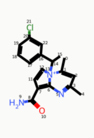 CC1=CC(C)=NC2=C(C(N)=O)C=C[N+]12C(C)c1cccc(Cl)c1